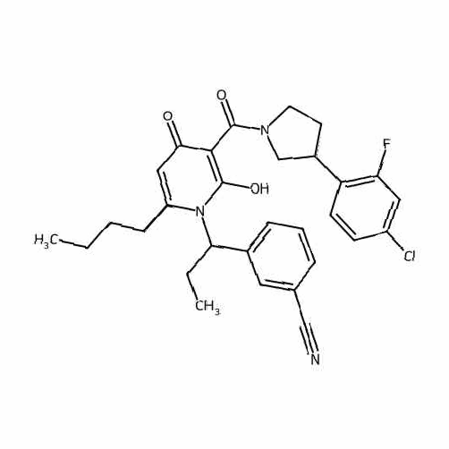 CCCCc1cc(=O)c(C(=O)N2CCC(c3ccc(Cl)cc3F)C2)c(O)n1C(CC)c1cccc(C#N)c1